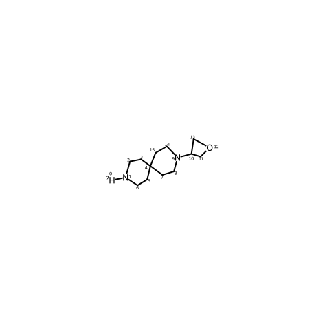 [2H]N1CCC2(CC1)CCN(C1COC1)CC2